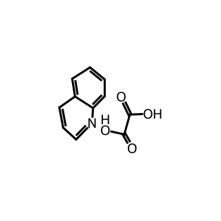 O=C(O)C(=O)O.c1ccc2ncccc2c1